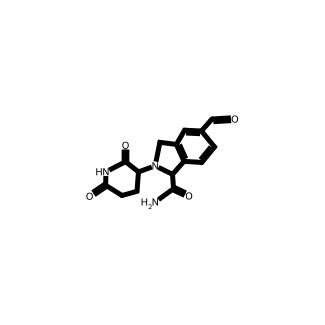 NC(=O)C1c2ccc([C]=O)cc2CN1C1CCC(=O)NC1=O